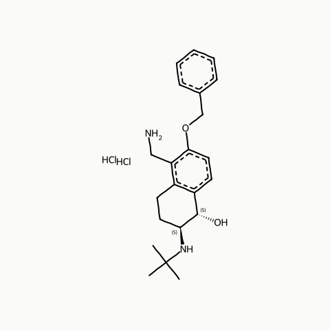 CC(C)(C)N[C@H]1CCc2c(ccc(OCc3ccccc3)c2CN)[C@@H]1O.Cl.Cl